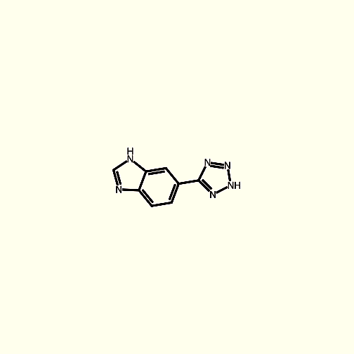 c1nc2ccc(-c3nn[nH]n3)cc2[nH]1